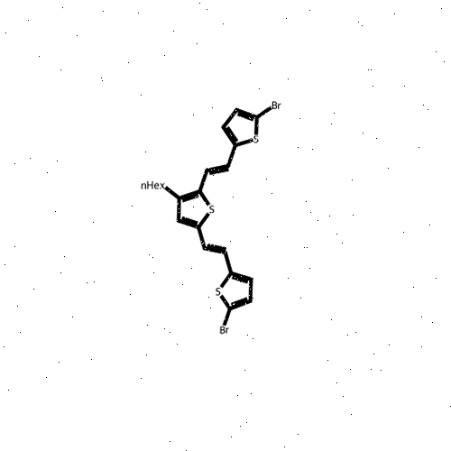 CCCCCCc1cc(/C=C/c2ccc(Br)s2)sc1/C=C/c1ccc(Br)s1